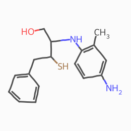 Cc1cc(N)ccc1NC(CO)C(S)Cc1ccccc1